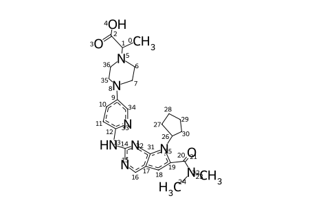 CC(C(=O)O)N1CCN(c2ccc(Nc3ncc4cc(C(=O)N(C)C)n(C5CCCC5)c4n3)nc2)CC1